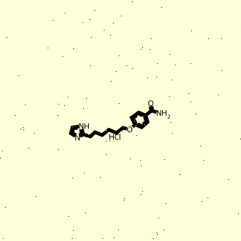 Cl.NC(=O)c1ccc(OCCCCCCc2ncc[nH]2)cc1